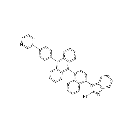 CCc1nc2ccccc2n1-c1ccc(-c2c3ccccc3c(-c3ccc(-c4cccnc4)cc3)c3ccccc23)c2ccccc12